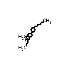 CCCCCCCC1CCC(C2CCC(CCCCCC)([S+](C)[O-])CC2)CC1